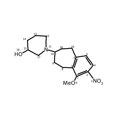 COc1c([N+](=O)[O-])ccc2c1CCC(N1CCCC(O)C1)CC2